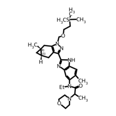 CCN(C(=O)C(C)N1CCOCC1)c1cc2nc(-c3nn(COCC[Si](C)(C)C)c4c3C[C@@H]3C[C@]3(C)C4)[nH]c2cc1C